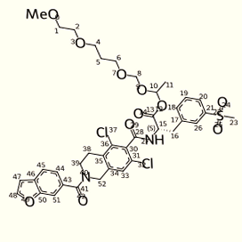 COCCOCCCOCOC(C)OC(=O)[C@H](Cc1cccc(S(C)(=O)=O)c1)NC(=O)c1c(Cl)cc2c(c1Cl)CCN(C(=O)c1ccc3ccoc3c1)C2